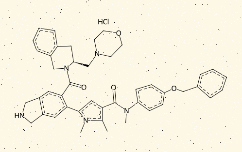 Cc1c(C(=O)N(C)c2ccc(OCc3ccccc3)cc2)cc(-c2cc3c(cc2C(=O)N2Cc4ccccc4C[C@H]2CN2CCOCC2)CNC3)n1C.Cl